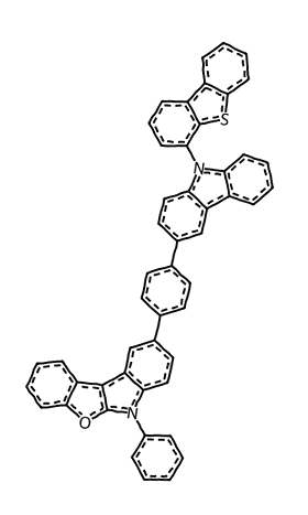 c1ccc(-n2c3ccc(-c4ccc(-c5ccc6c(c5)c5ccccc5n6-c5cccc6c5sc5ccccc56)cc4)cc3c3c4ccccc4oc32)cc1